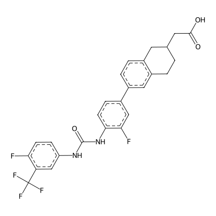 O=C(O)CC1CCc2cc(-c3ccc(NC(=O)Nc4ccc(F)c(C(F)(F)F)c4)c(F)c3)ccc2C1